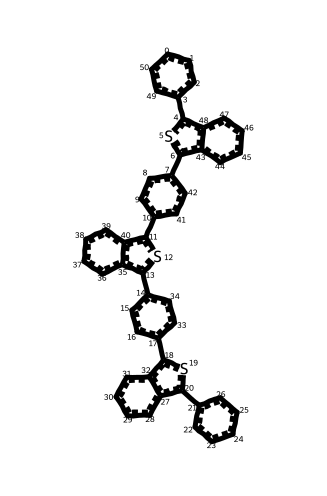 c1ccc(-c2sc(-c3ccc(-c4sc(-c5ccc(-c6sc(-c7ccccc7)c7ccccc67)cc5)c5ccccc45)cc3)c3ccccc23)cc1